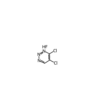 Clc1cnnnc1Cl.F